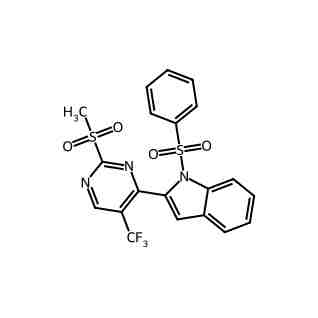 CS(=O)(=O)c1ncc(C(F)(F)F)c(-c2cc3ccccc3n2S(=O)(=O)c2ccccc2)n1